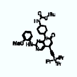 COc1ccccc1Nc1ncc2c(C#C[Si](C(C)C)(C(C)C)C(C)C)cc(=O)n(C3CCC(NC(=O)OC(C)(C)C)CC3)c2n1